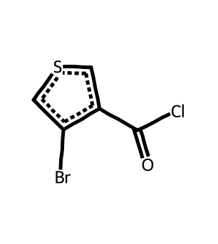 O=C(Cl)c1cscc1Br